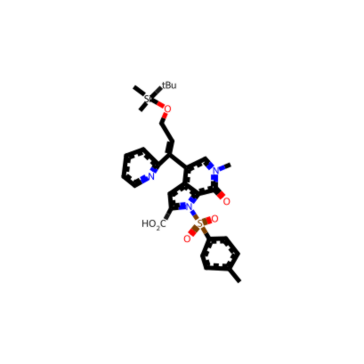 Cc1ccc(S(=O)(=O)n2c(C(=O)O)cc3c(C(=CCO[Si](C)(C)C(C)(C)C)c4ccccn4)cn(C)c(=O)c32)cc1